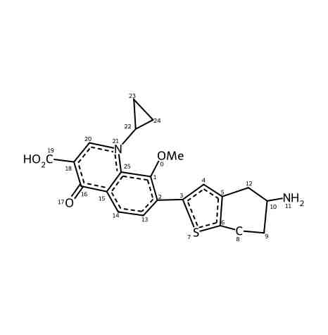 COc1c(-c2cc3c(s2)CCC(N)C3)ccc2c(=O)c(C(=O)O)cn(C3CC3)c12